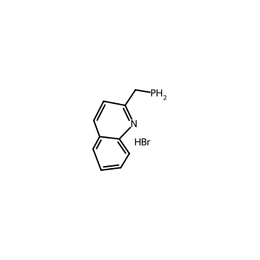 Br.PCc1ccc2ccccc2n1